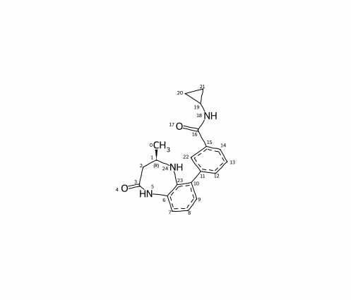 C[C@@H]1CC(=O)Nc2cccc(-c3cccc(C(=O)NC4CC4)c3)c2N1